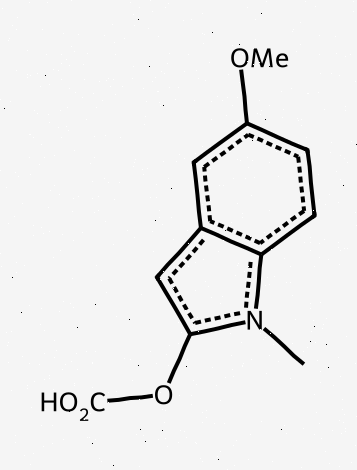 COc1ccc2c(c1)cc(OC(=O)O)n2C